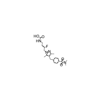 Cc1nn(C/C(F)=C/CNC(=O)O)c(C)c1Cc1ccc(S(=O)(=O)N(C)C)cc1